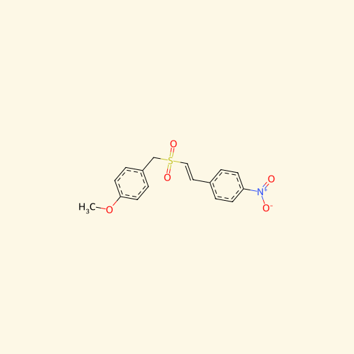 COc1ccc(CS(=O)(=O)C=Cc2ccc([N+](=O)[O-])cc2)cc1